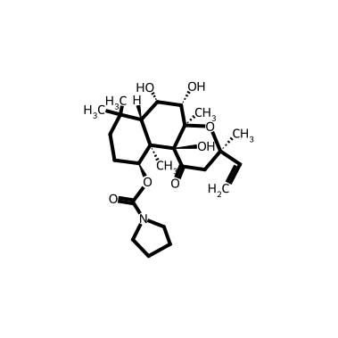 C=C[C@@]1(C)CC(=O)[C@]2(O)[C@@]3(C)[C@@H](OC(=O)N4CCCC4)CCC(C)(C)[C@@H]3[C@H](O)[C@H](O)[C@@]2(C)O1